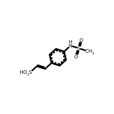 CS(=O)(=O)Nc1ccc(C=CS(=O)(=O)O)cc1